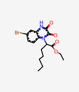 CCCCCC(C(=O)OCC)n1c(=O)c(=O)[nH]c2cc(Br)ccc21